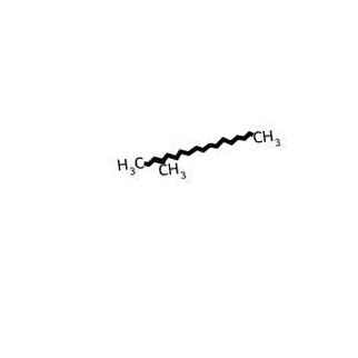 CC/C=C(\C)CCCCCCCCCCCCCC